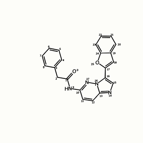 O=C(Cc1ccccc1)Nc1ccc2ncc(-c3cc4ccccc4o3)n2n1